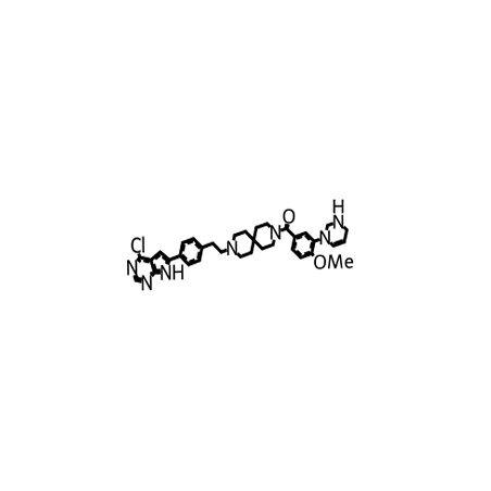 COc1ccc(C(=O)N2CCC3(CCN(CCc4ccc(-c5cc6c(Cl)ncnc6[nH]5)cc4)CC3)CC2)cc1N1C=CCNC1